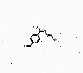 C/C(=N/N=C/N)c1ccc(C=O)cc1